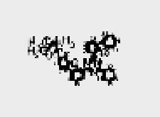 CC1(C)OB(c2ccc3c(c2)oc2c(-c4nc(-c5ccccc5)nc(-c5cccc6c5oc5ccccc56)n4)cccc23)OC1(C)C